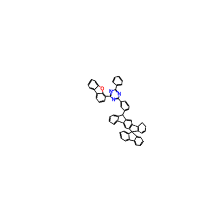 C1=CC2=C(CC1)c1cc3c(cc1C21c2ccccc2-c2ccccc21)-c1ccccc1C3c1cccc(-c2nc(-c3ccccc3)nc(-c3cccc4c3oc3ccccc34)n2)c1